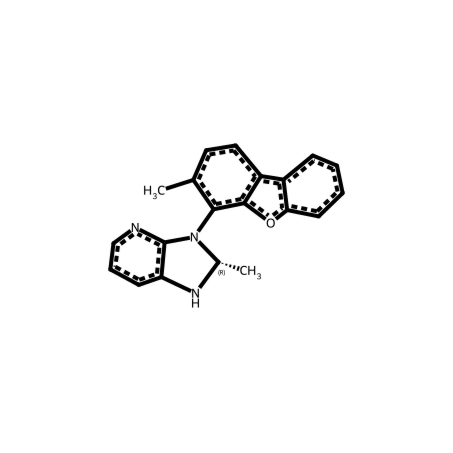 Cc1ccc2c(oc3ccccc32)c1N1c2ncccc2N[C@H]1C